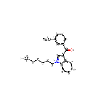 COc1cccc(C(=O)c2cn(CCCCCC(=O)O)c3ccccc23)c1